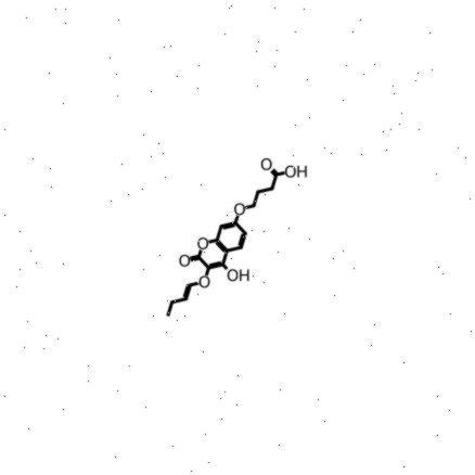 CC/C=C/Oc1c(O)c2ccc(OCCCC(=O)O)cc2oc1=O